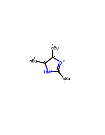 CCCCC1=NC(CCCC)C(CCCC)N1